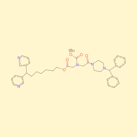 CC(C)(C)OC(=O)N(CC(=O)OCCCCCCC(c1cccnc1)c1cccnc1)CC(=O)N1CCN(C(c2ccccc2)c2ccccc2)CC1